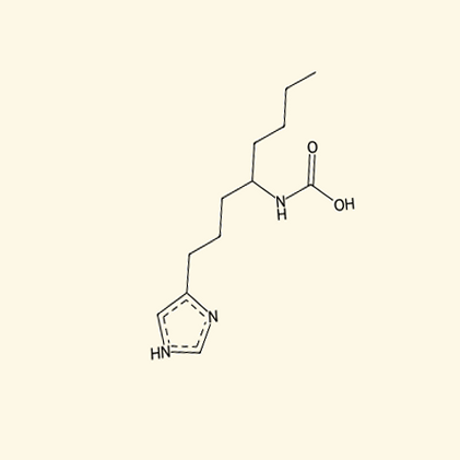 CCCCC(CCCc1c[nH]cn1)NC(=O)O